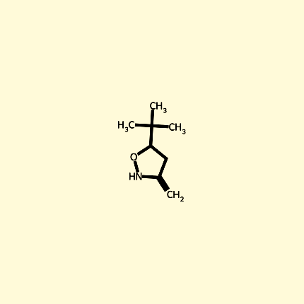 C=C1CC(C(C)(C)C)ON1